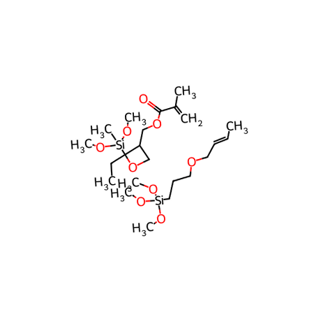 C/C=C/COCCC[Si](OC)(OC)OC.C=C(C)C(=O)OCC1COC1(CC)[Si](C)(OC)OC